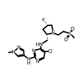 Cn1cc(Nc2ncc(Cl)c(NC[C@@H]3C[C@H](F)CN3CCS(C)(=O)=O)n2)cn1